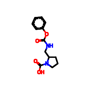 O=C(NCC1CCCN1C(=O)O)Oc1ccccc1